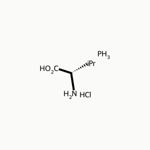 CC(C)[C@H](N)C(=O)O.Cl.P